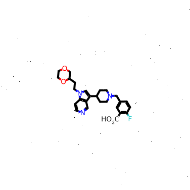 O=C(O)c1cc(CN2CCC(c3cn(CCC4COCCO4)c4ccncc34)CC2)ccc1F